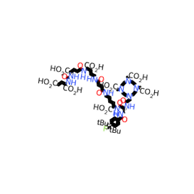 CC(C)(C)[Si](F)(c1ccc(C(=O)NC[C@H](NC(=O)CN2CCN(CC(=O)O)CCN(CC(=O)O)CCN(CC(=O)O)CC2)C(=O)N[C@@H](CCCCNC(=O)CCC(=O)NCCC[C@@H](NC(=O)CC[C@H](NC(=O)N[C@@H](CCC(=O)O)C(=O)O)C(=O)O)C(=O)O)C(=O)O)cc1)C(C)(C)C